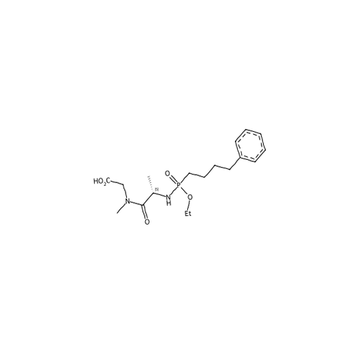 CCOP(=O)(CCCCc1ccccc1)N[C@@H](C)C(=O)N(C)CC(=O)O